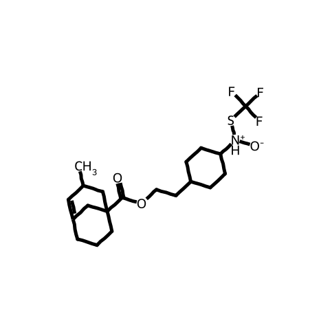 CC1C=C2CCCC(C(=O)OCCC3CCC([NH+]([O-])SC(F)(F)F)CC3)(C2)C1